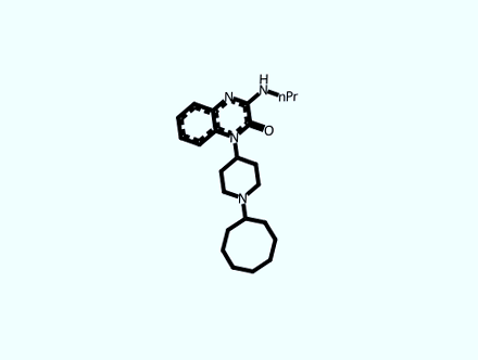 CCCNc1nc2ccccc2n(C2CCN(C3CCCCCCC3)CC2)c1=O